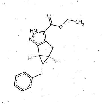 CCOC(=O)c1[nH]nc2c1C[C@H]1[C@H](Cc3ccccc3)[C@@H]21